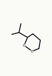 C[C](C)C1CCCOO1